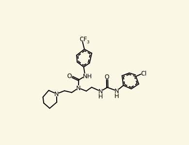 O=C(NCCN(CCN1CCCCC1)C(=O)Nc1ccc(C(F)(F)F)cc1)Nc1ccc(Cl)cc1